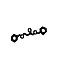 O=C(CCOCc1ccccc1)COCc1ccccc1